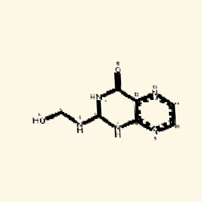 O=C1NC(NCO)Nc2nccnc21